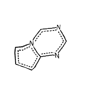 c1cc2ncncn2c1